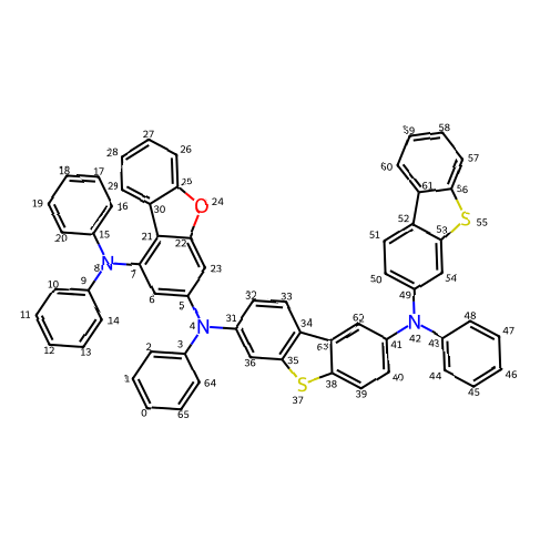 c1ccc(N(c2cc(N(c3ccccc3)c3ccccc3)c3c(c2)oc2ccccc23)c2ccc3c(c2)sc2ccc(N(c4ccccc4)c4ccc5c(c4)sc4ccccc45)cc23)cc1